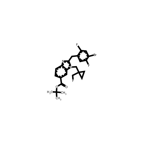 CC(C)(C)OC(=O)c1ccc2nc(Cc3cc(F)c(Br)cc3F)n(CC3(CF)CC3)c2c1